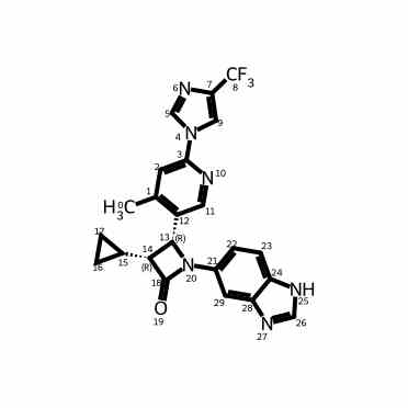 Cc1cc(-n2cnc(C(F)(F)F)c2)ncc1[C@H]1[C@@H](C2CC2)C(=O)N1c1ccc2[nH]cnc2c1